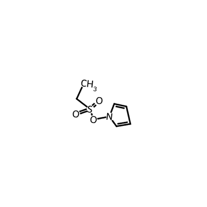 CCS(=O)(=O)On1cccc1